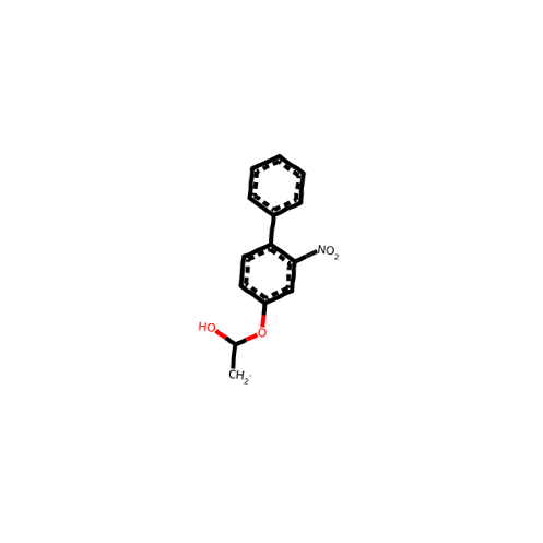 [CH2]C(O)Oc1ccc(-c2ccccc2)c([N+](=O)[O-])c1